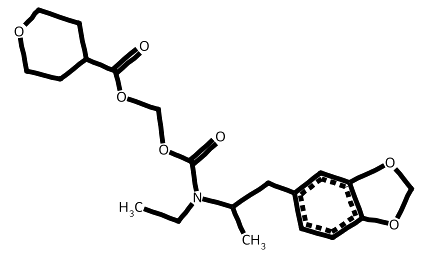 CCN(C(=O)OCOC(=O)C1CCOCC1)C(C)Cc1ccc2c(c1)OCO2